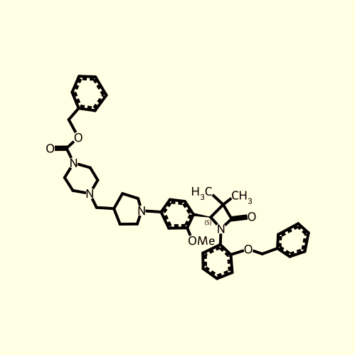 COc1cc(N2CCC(CN3CCN(C(=O)OCc4ccccc4)CC3)CC2)ccc1[C@@H]1N(c2ccccc2OCc2ccccc2)C(=O)C1(C)C